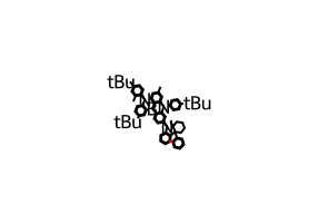 Cc1cc2c3c(c1)N(c1ccc(C(C)(C)C)cc1C)c1ccc(C(C)(C)C)cc1B3c1ccc(N3c4ccccc4C4(c5ccccc5)CCCCC34C)cc1N2c1ccc(C(C)(C)C)cc1